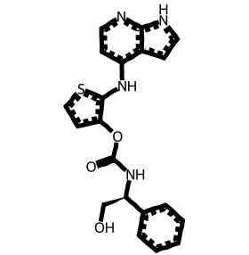 O=C(N[C@H](CO)c1ccccc1)Oc1ccsc1Nc1ccnc2[nH]ccc12